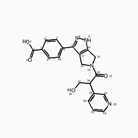 O=C(O)c1ccc(-c2n[nH]c3c2CN(C(=O)C(CO)c2cccnc2)C3)cc1